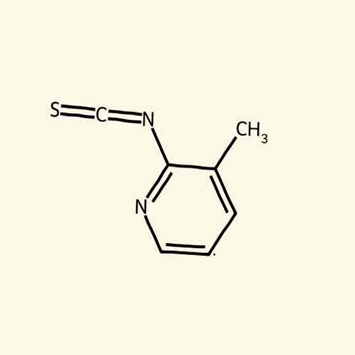 Cc1c[c]cnc1N=C=S